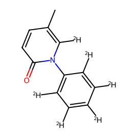 [2H]c1c([2H])c([2H])c(-n2c([2H])c(C)ccc2=O)c([2H])c1[2H]